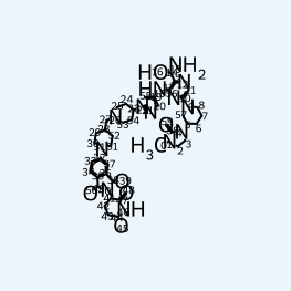 CN1CCN([C@H]2CCCN(c3cnc(C(N)O)c(Nc4cnn(C5CCN(CC6CCN(c7ccc8c(c7)C(=O)N(C7CCC(=O)NC7=O)C8=O)CC6)CC5)c4)n3)C2)C1=O